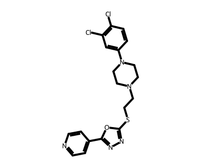 Clc1ccc(N2CCN(CCSc3nnc(-c4ccncc4)o3)CC2)cc1Cl